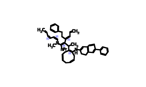 C=C/C=C\C=C/N(C)/C(CCC)=C(\C(=C\C=C)CCc1ccccc1)C(C)/C1=C(\NC2=Cc3ccc(-c4ccccc4)cc3CC2)CC=CCC=CC1